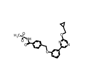 CS(=O)(=O)NC(=O)c1ccc(COc2cccc(-c3cncc(OCC4CC4)n3)c2)cc1